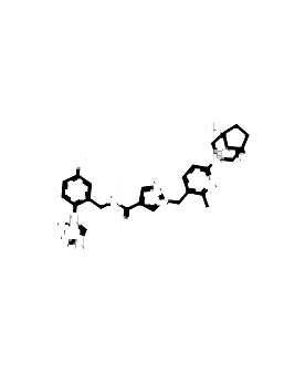 CO[C@@H]1C2CC[C@@H]1CN(c1ccc(Cn3cc(C(=O)NCc4cc(Cl)ccc4-n4cnnn4)cn3)c(C)n1)C2